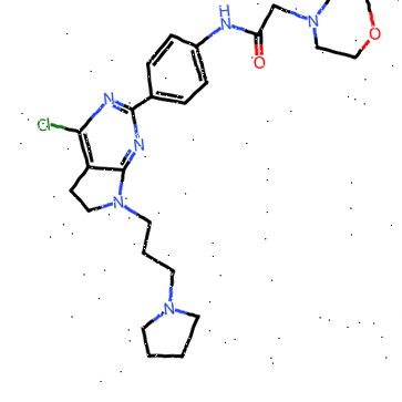 O=C(CN1CCOCC1)Nc1ccc(-c2nc(Cl)c3c(n2)N(CCCN2CCCC2)CC3)cc1